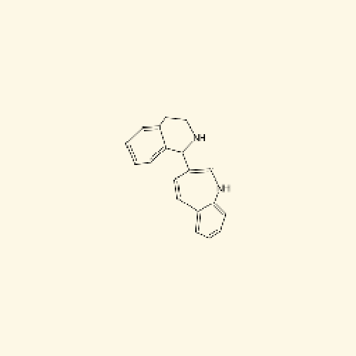 [C]1=C(C2NCCc3ccccc32)C=Cc2ccccc2N1